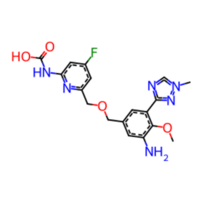 COc1c(N)cc(COCc2cc(F)cc(NC(=O)O)n2)cc1-c1ncn(C)n1